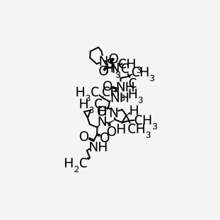 C=CCNC(=O)C(=O)C(CC1CC1)NC(=O)[C@@H]1[C@@H]2[C@H](CN1C(=O)[C@@H](NC(=O)N[C@H](CN(C)S(=O)(=O)N1CCCCC1)C(C)(C)C)C(C)(C)C)C2(C)C